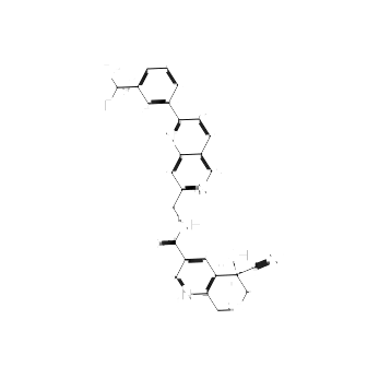 C[C@@]1(C#N)COCc2ncc(C(=O)NCc3cc4nc(-c5cccc(C(F)F)c5)ccc4cn3)cc21